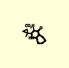 CC1(c2[nH]c3ccccc3c(=O)c2C(=O)O)CC1